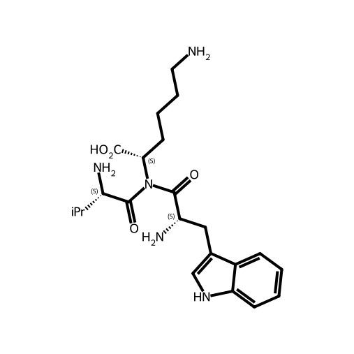 CC(C)[C@H](N)C(=O)N(C(=O)[C@@H](N)Cc1c[nH]c2ccccc12)[C@@H](CCCCN)C(=O)O